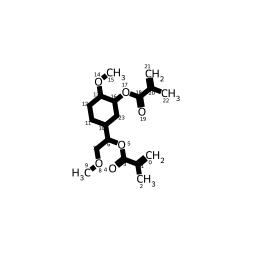 C=C(C)C(=O)OC(COC)C1CCC(OC)C(OC(=O)C(=C)C)C1